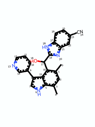 Cc1cc(C)c2[nH]cc(-c3cccnc3)c2c1C(O)c1nc2cc(C#N)ccc2[nH]1